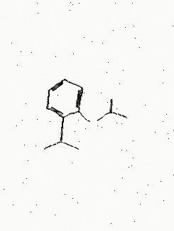 CC(C)c1ccccc1SC(F)F